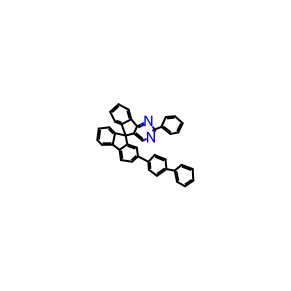 c1ccc(-c2ccc(-c3ccc4c(c3)C3(c5ccccc5-4)c4ccccc4-c4nc(-c5ccccc5)ncc43)cc2)cc1